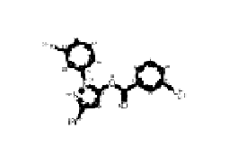 CC(C)c1cc(OC(=O)c2cccc(C(F)(F)F)c2)n(-c2cccc(F)c2)n1